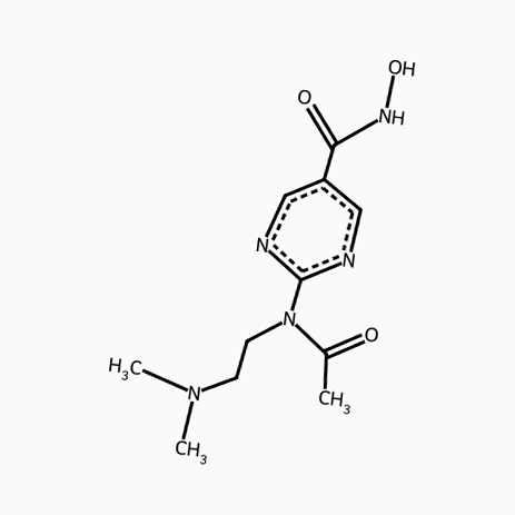 CC(=O)N(CCN(C)C)c1ncc(C(=O)NO)cn1